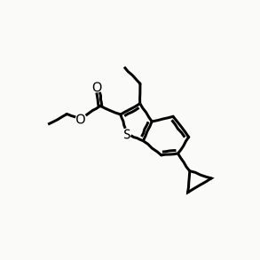 CCOC(=O)c1sc2cc(C3CC3)ccc2c1CC